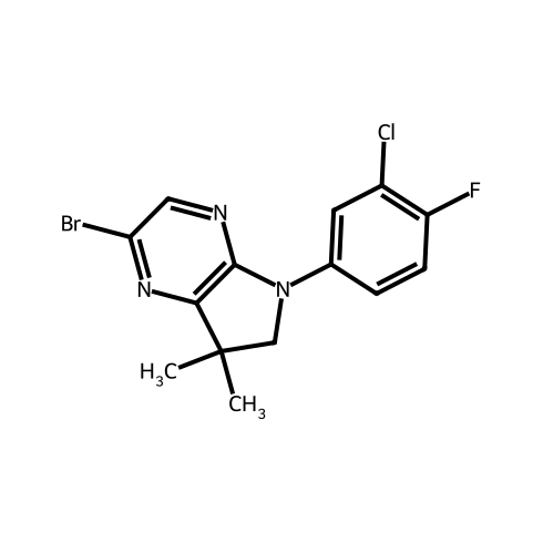 CC1(C)CN(c2ccc(F)c(Cl)c2)c2ncc(Br)nc21